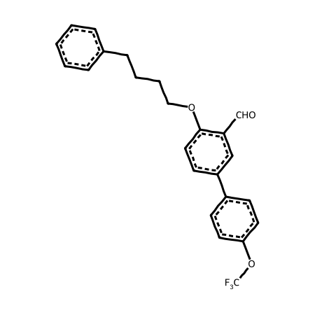 O=Cc1cc(-c2ccc(OC(F)(F)F)cc2)ccc1OCCCCc1ccccc1